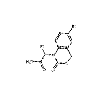 CCC(C(N)=O)N1C(=O)OCc2cc(Br)ccc21